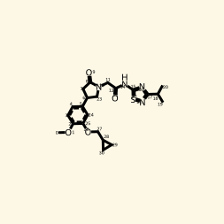 COc1ccc(C2CC(=O)N(CC(=O)Nc3nc(C(C)C)ns3)C2)cc1OCC1CC1